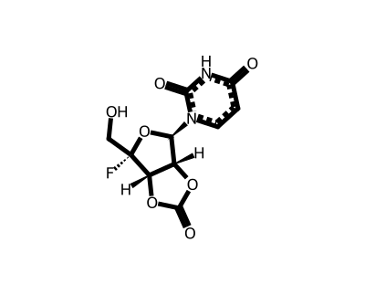 O=C1O[C@H]2[C@H](n3ccc(=O)[nH]c3=O)O[C@](F)(CO)[C@H]2O1